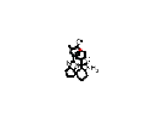 COc1ccc(-c2nc3ccccc3n2C(C(N)=O)(C2CCCCC2)C2CCCCC2)cc1C